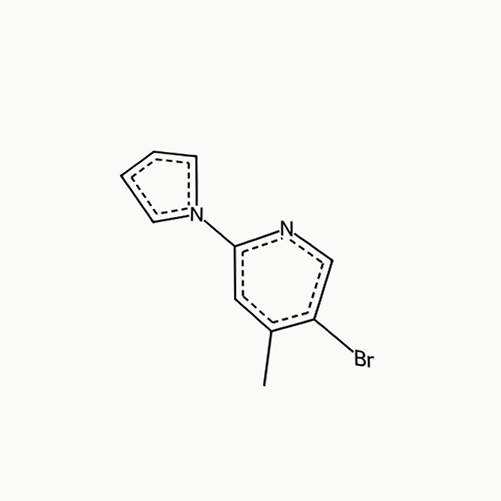 Cc1cc(-n2cccc2)ncc1Br